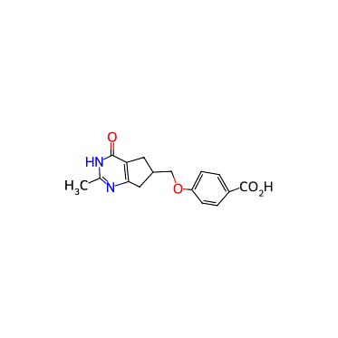 Cc1nc2c(c(=O)[nH]1)CC(COc1ccc(C(=O)O)cc1)C2